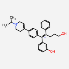 CC(C)N1CC=C(c2ccc(/C(=C(/CCCO)c3ccccc3)c3cccc(O)c3)cc2)CC1